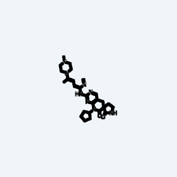 C=N/C(=C\C=C(/C)N1CCN(C)CC1)Nc1ncc2c(n1)N(C1CCCC1)C(=O)C1(CCNC1=O)C2